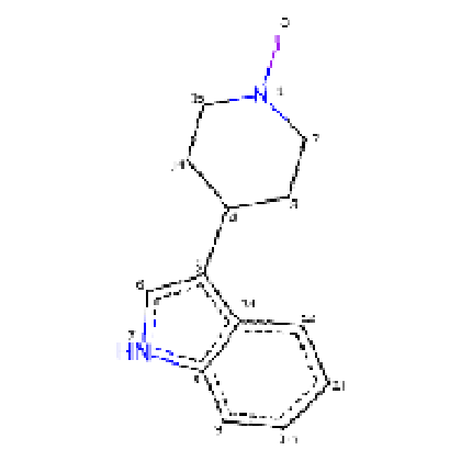 IN1CCC(c2c[nH]c3ccccc23)CC1